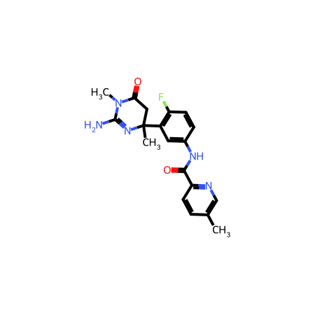 Cc1ccc(C(=O)Nc2ccc(F)c(C3(C)CC(=O)N(C)C(N)=N3)c2)nc1